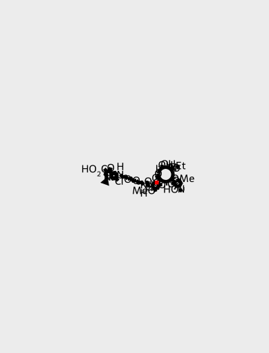 CCO/N=C1\[C@H](C)C[C@@](C)(OC)[C@H](OC2O[C@H](C)C[C@H](N(C)C)[C@H]2O)[C@@H](C)[C@H](OC2C[C@@](C)(OC)[C@@H](OC(=O)NCCOCCOCCNc3cc4c(=O)c(C(=O)O)cn(C5CC5)c4cc3Cl)[C@H](C)O2)[C@@H](C)C(=O)O[C@H](I)[C@@](C)(O)[C@H](O)[C@H]1C